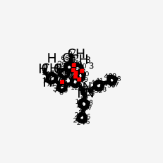 CCc1ccc(-c2cccc(-c3cc(-c4nc(-c5ccc(-c6ccccc6)cc5)nc(-c5ccc(-c6ccccc6)cc5)n4)cc(-c4ccccc4)c3N3c4c(-c5ccccc5)cc(C(C)(C)C)cc4C(C)CC3C)c2)cc1